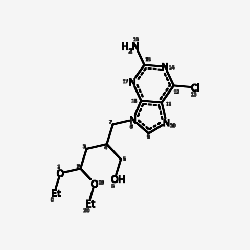 CCOC(CC(CO)Cn1cnc2c(Cl)nc(N)nc21)OCC